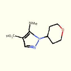 CNc1c(C(=O)O)cnn1C1CCOCC1